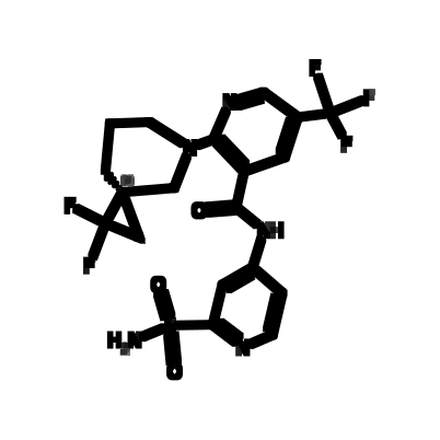 NS(=O)(=O)c1cc(NC(=O)c2cc(C(F)(F)F)cnc2N2CCC[C@]3(C2)CC3(F)F)ccn1